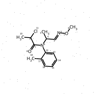 CON=CC(C)N(C(=O)C(C)Cl)c1ccccc1C